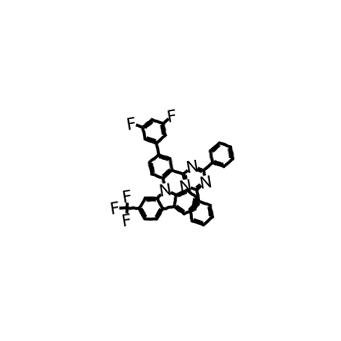 Fc1cc(F)cc(-c2ccc(-n3c4ccccc4c4ccc(C(F)(F)F)cc43)c(-c3nc(-c4ccccc4)nc(-c4ccccc4)n3)c2)c1